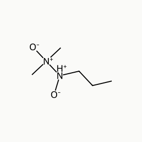 CCC[NH+]([O-])[N+](C)(C)[O-]